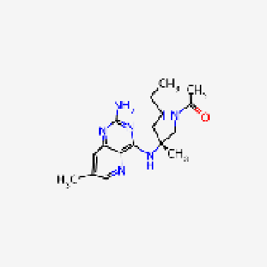 CCCC[C@](C)(CNC(C)=O)Nc1nc(N)nc2cc(C)cnc12